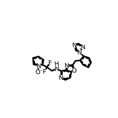 [O-][n+]1ccccc1C(F)(F)CNc1nccc2oc(Cc3ccccc3-n3cncn3)nc12